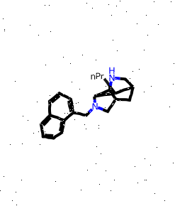 CCCC1C2CNC3C(C2)CN(Cc2cccc4ccccc24)C13